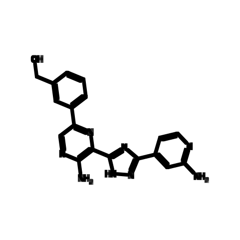 Nc1cc(-c2n[nH]c(-c3nc(-c4cccc(CO)c4)cnc3N)n2)ccn1